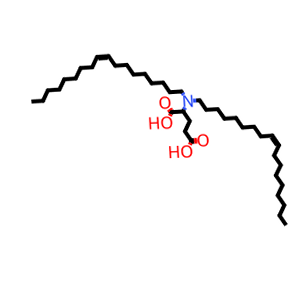 CCCCCCCC/C=C\CCCCCCCCN(CCCCCCCC/C=C\CCCCCCCC)C(CCC(=O)O)C(=O)O